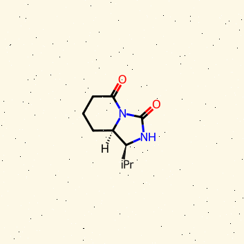 CC(C)[C@@H]1NC(=O)N2C(=O)CCC[C@H]12